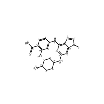 Cn1nnc2c(Nc3ccc(C(=O)O)c(Cl)c3)nc(NC3CCC(N)CC3)nc21